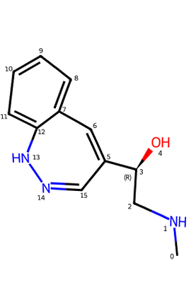 CNC[C@H](O)C1=Cc2ccccc2NN=C1